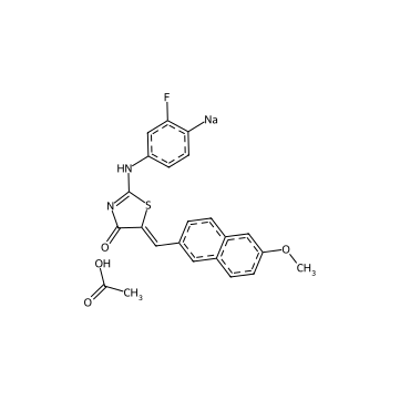 CC(=O)O.COc1ccc2cc(/C=C3\SC(Nc4cc[c]([Na])c(F)c4)=NC3=O)ccc2c1